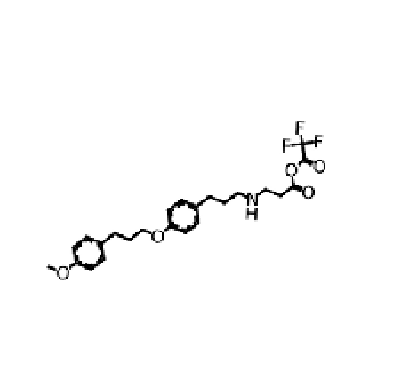 COc1ccc(CCCOc2ccc(CCCNCCC(=O)OC(=O)C(F)(F)F)cc2)cc1